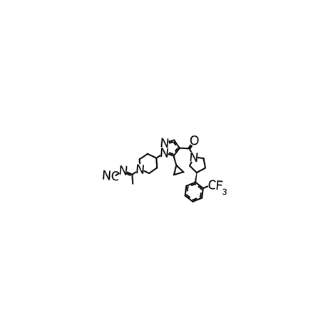 C/C(=N\C#N)N1CCC(n2ncc(C(=O)N3CC[C@@H](c4ccccc4C(F)(F)F)C3)c2C2CC2)CC1